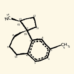 Cc1ccc2c(c1)[C@@]1(CCC2)CC[C@@H]1C#N